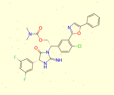 CN(C)C(=O)OC[C@H](c1ccc(Cl)c(-c2ncc(-c3ccccc3)o2)c1)N1C(=N)N[C@H](c2cc(F)cc(F)c2)C1=O